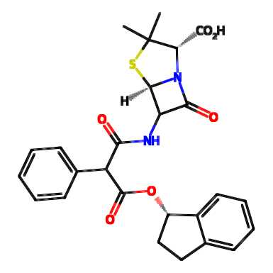 CC1(C)S[C@@H]2C(NC(=O)C(C(=O)O[C@H]3CCc4ccccc43)c3ccccc3)C(=O)N2[C@H]1C(=O)O